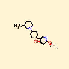 COc1ccc([C@]2(O)CC[C@@H](N3CCCC(C)C3)CC2)cn1